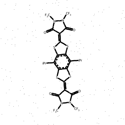 CC(C)c1c2c(c(C(C)C)c3c1SC(=C1C(=O)N(C(F)(F)F)N(C(F)(F)F)C1=O)S3)SC(=C1C(=O)N(C(F)(F)F)N(C(F)(F)F)C1=O)S2